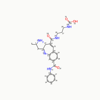 CC(N)CC1=Nc2cc(C(=O)Nc3ccccc3)ccc2C=C(C(=O)NCCCNC(=O)O)C1